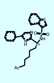 CC(=O)CCCCC[C@H](NS(=O)(=O)c1csc2ccccc12)c1ncc(-c2ccccc2)[nH]1